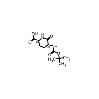 CC(C)(C)OC(=O)N[C@H]1CC[C@@H](C(=O)O)NC1=O